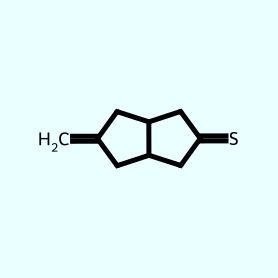 C=C1CC2CC(=S)CC2C1